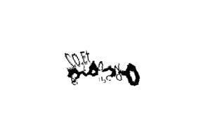 CCOC(=O)C1=C(CCc2ccc(OCCc3nc(-c4ccccc4)oc3C)cc2)CN(Cl)CC1